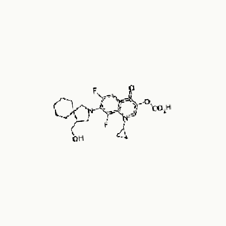 O=C(O)Oc1cn(C2CC2)c2c(F)c(N3CC(CO)C4(CCCCC4)C3)c(F)cc2c1=O